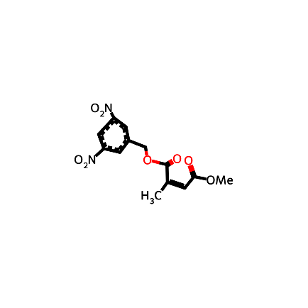 COC(=O)/C=C(/C)C(=O)OCc1cc([N+](=O)[O-])cc([N+](=O)[O-])c1